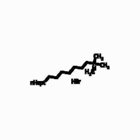 Br.CCCCCCCCCCCCCC[PH](C)(C)C